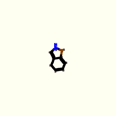 C1=CCC2=CNSC2=C1